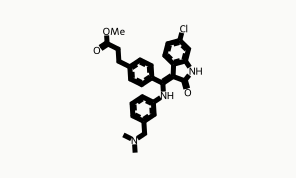 COC(=O)CCc1ccc(/C(Nc2cccc(CN(C)C)c2)=C2/C(=O)Nc3cc(Cl)ccc32)cc1